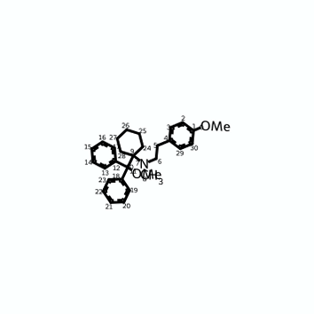 COc1ccc(CCN(C)C2(C(OC)(c3ccccc3)c3ccccc3)CCCCC2)cc1